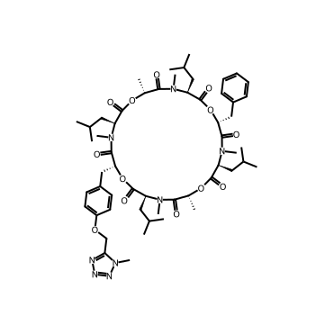 CC(C)C[C@H]1C(=O)O[C@H](Cc2ccc(OCc3nnnn3C)cc2)C(=O)N(C)[C@@H](CC(C)C)C(=O)O[C@H](C)C(=O)N(C)[C@@H](CC(C)C)C(=O)O[C@H](Cc2ccccc2)C(=O)N(C)[C@@H](CC(C)C)C(=O)O[C@H](C)C(=O)N1C